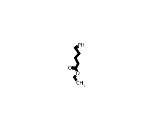 CCOC(=O)CCCC=P